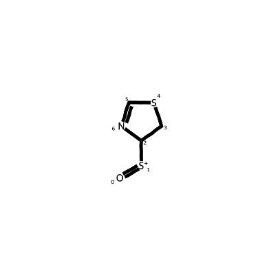 O=[S+]C1CSC=N1